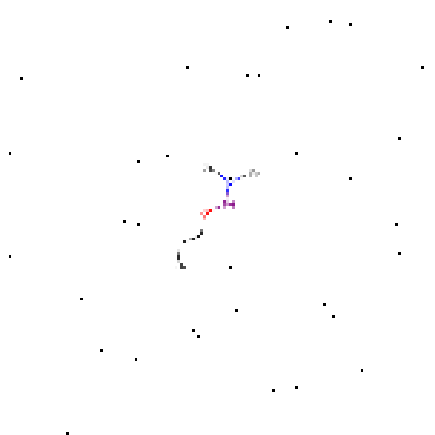 CC(C)N(POCCC#N)C(C)C